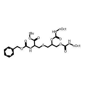 CCCCCCCCNC(=O)OCC(CSCC(NC(=O)OCc1ccccc1)C(=O)OC(C)(C)C)OC(=O)NCCCCCCCC